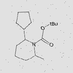 CC1CCCC(C2CCCC2)N1C(=O)OC(C)(C)C